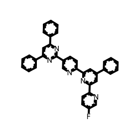 Fc1ccc(-c2cc(-c3ccccc3)cc(-c3ccc(-c4nc(-c5ccccc5)cc(-c5ccccc5)n4)cn3)n2)nc1